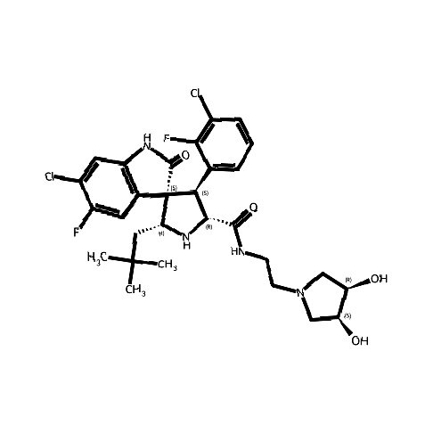 CC(C)(C)C[C@H]1N[C@@H](C(=O)NCCN2C[C@@H](O)[C@@H](O)C2)[C@H](c2cccc(Cl)c2F)[C@@]12C(=O)Nc1cc(Cl)c(F)cc12